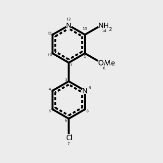 COc1c(-c2ccc(Cl)cn2)ccnc1N